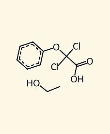 CCO.O=C(O)C(Cl)(Cl)Oc1ccccc1